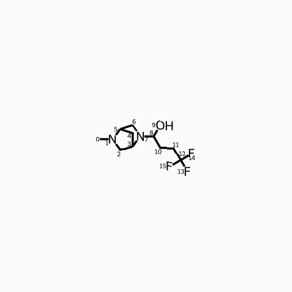 CN1CC2CC1CN2C(O)CCC(F)(F)F